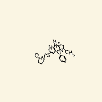 CC1CSC(Nc2ncc(SCN3CCCC3=O)cc2Oc2ccccc2)=N1